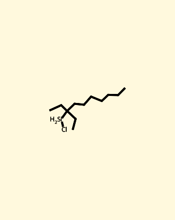 CCCCCCCC(CC)(CC)[SiH2]Cl